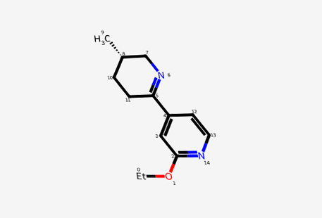 CCOc1cc(C2=NC[C@@H](C)CC2)ccn1